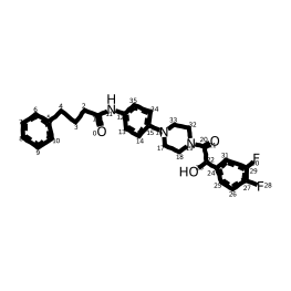 O=C(CCCc1ccccc1)Nc1ccc(N2CCN(C(=O)C(O)c3ccc(F)c(F)c3)CC2)cc1